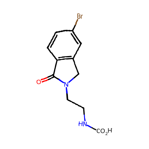 O=C(O)NCCN1Cc2cc(Br)ccc2C1=O